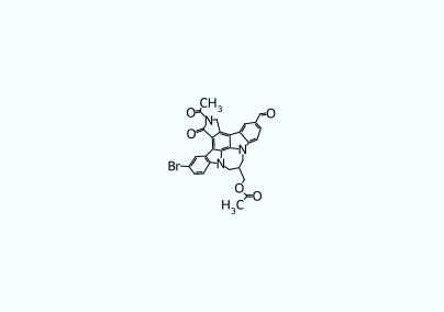 CC(=O)OCC1Cn2c3ccc(C=O)cc3c3c4c(c5c6cc(Br)ccc6n(c5c32)C1)C(=O)N(C(C)=O)C4